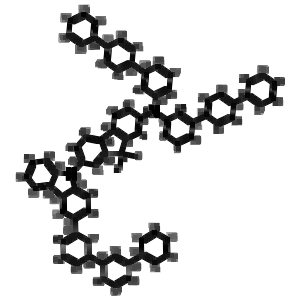 CC1(C)c2cc(N(c3cccc(-c4ccc(-c5ccccc5)cc4)c3)c3cccc(-c4ccc(-c5ccccc5)cc4)c3)ccc2-c2ccc(-n3c4ccccc4c4cc(-c5cccc(-c6cccc(-c7ccccc7)c6)c5)ccc43)cc21